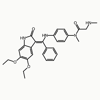 CCOc1cc2c(cc1OCC)/C(=C(/Nc1ccc(N(C)C(=O)CNC)cc1)c1ccccc1)C(=O)N2